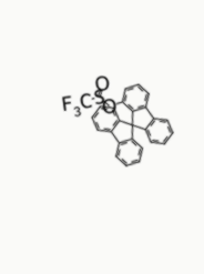 O=S(Oc1cccc2c1C1(c3ccccc3-c3ccccc31)c1ccccc1-2)C(F)(F)F